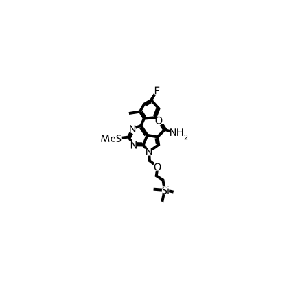 CSc1nc(-c2ccc(F)cc2C)c2c(C(N)=O)cn(COCC[Si](C)(C)C)c2n1